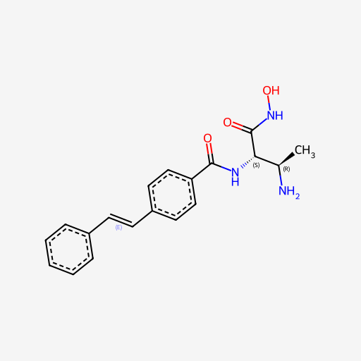 C[C@@H](N)[C@H](NC(=O)c1ccc(/C=C/c2ccccc2)cc1)C(=O)NO